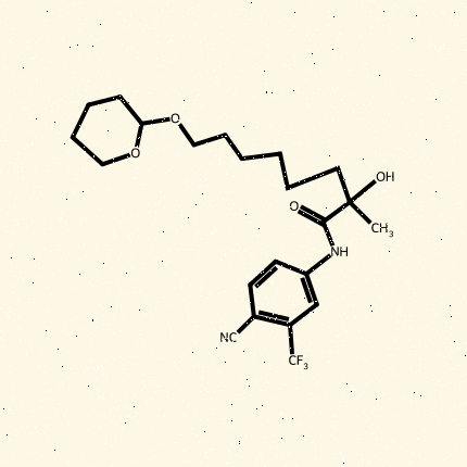 CC(O)(CCCCCCOC1CCCCO1)C(=O)Nc1ccc(C#N)c(C(F)(F)F)c1